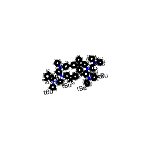 Cc1cc2c3c(c1)N(c1ccc4c(c1)C(c1ccccc1)(c1ccc(-c5ccc(N(c6ccccc6)c6ccc7c(c6)N(c6ccc8c(c6)C(C)(C)c6ccccc6-8)c6cc(C(C)(C)C)cc8c6B7c6cc7c(cc6N8c6ccc(C(C)(C)C)cc6)C(C)(C)CCC7(C)C)cc5)cc1)c1ccccc1-4)c1cc(N(c4ccccc4)c4ccccc4C)ccc1B3c1cc(C(C)(C)C)ccc1N2c1ccc(C(C)(C)C)cc1